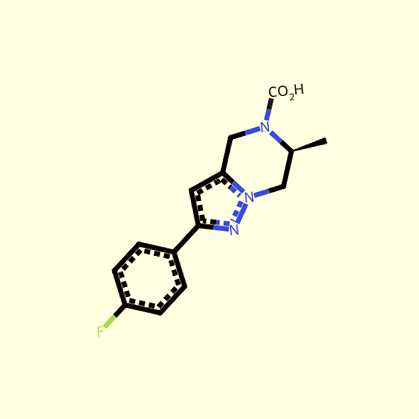 C[C@H]1Cn2nc(-c3ccc(F)cc3)cc2CN1C(=O)O